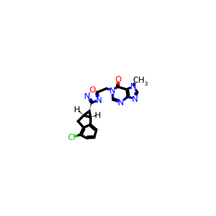 Cn1cnc2ncn(Cc3nc([C@H]4[C@@H]5Cc6c(Cl)cccc6[C@@H]54)no3)c(=O)c21